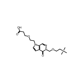 C[Si](C)(C)CCOCn1ncc2c(ccn2CCOCCC(=O)O)c1=O